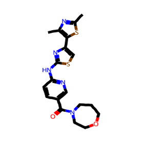 Cc1nc(C)c(-c2csc(Nc3ccc(C(=O)N4CCCOCC4)cn3)n2)s1